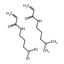 C=CC(=O)NCCCN(C)C.C=CC(=O)NCCCN(CC)CC